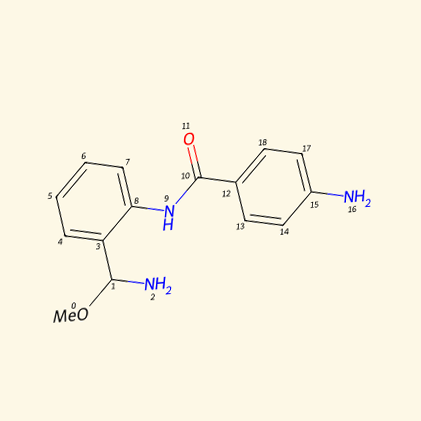 COC(N)c1ccccc1NC(=O)c1ccc(N)cc1